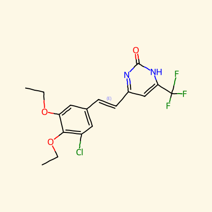 CCOc1cc(/C=C/c2cc(C(F)(F)F)[nH]c(=O)n2)cc(Cl)c1OCC